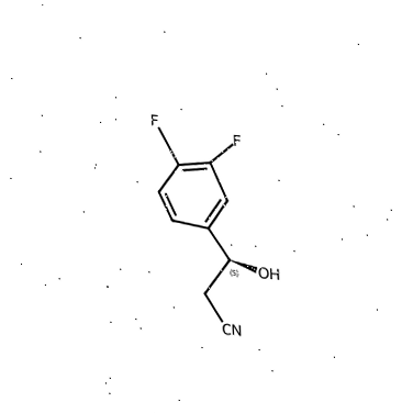 N#CC[C@H](O)c1ccc(F)c(F)c1